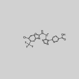 C[C@H](Nc1nc2cc(C(F)(F)F)c(Cl)cc2o1)c1ncnn1-c1ccc(C(=O)O)cn1